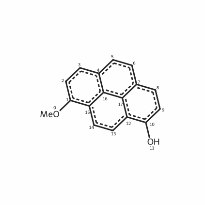 COc1ccc2ccc3ccc(O)c4ccc1c2c34